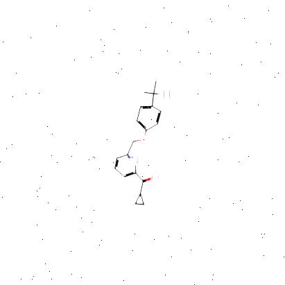 [2H]C(C)(C)c1ccc(OCc2cccc(C(=O)C3CC3)n2)cc1